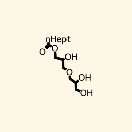 CCCCCCCC(=O)OCC(O)COCC(O)CO